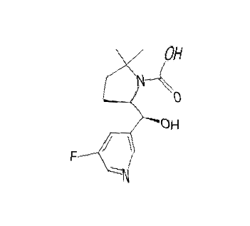 CC1(C)CC[C@H]([C@@H](O)c2cncc(F)c2)N1C(=O)O